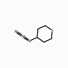 [N-]=[N+]=NC1CCSCC1